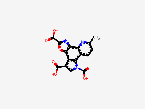 Cc1ccc2c(n1)c1nc(C(=O)O)oc1c1c(C(=O)O)cn(C(=O)O)c21